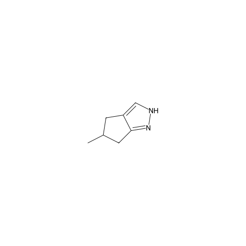 CC1Cc2c[nH]nc2C1